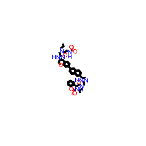 CCCN(Cc1nc2c([nH]1)COc1cc(-c3ccc4cc(-c5cnc(CN(CCC)C(=O)C(NC(=O)OC)c6ccccc6)[nH]5)ccc4c3)ccc1-2)C(=O)CNC(=O)OC